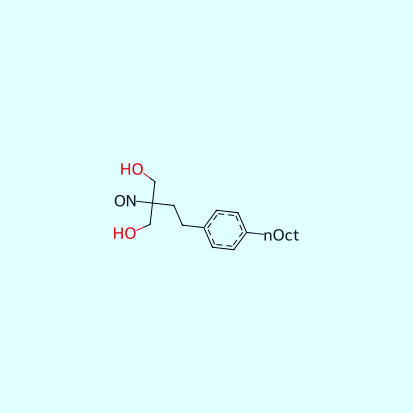 CCCCCCCCc1ccc(CCC(CO)(CO)N=O)cc1